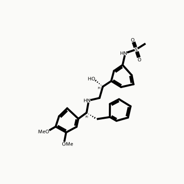 COc1ccc([C@@H](Cc2ccccc2)NC[C@H](O)c2cccc(NS(C)(=O)=O)c2)cc1OC